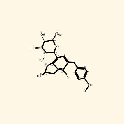 CCOc1ccc(Cc2cc([C@@H]3O[C@H](SC)[C@@H](O)[C@H](O)[C@H]3O)c3c(c2Cl)CC(C)O3)cc1